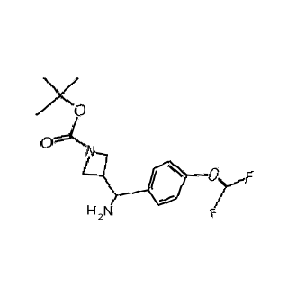 CC(C)(C)OC(=O)N1CC(C(N)c2ccc(OC(F)F)cc2)C1